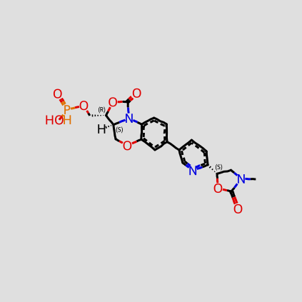 CN1C[C@@H](c2ccc(-c3ccc4c(c3)OC[C@H]3[C@H](CO[PH](=O)O)OC(=O)N43)cn2)OC1=O